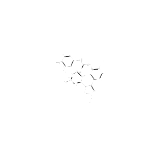 CCN1C=C(c2ccc(F)c(NC(=O)Nc3ccc(Cl)c(Cl)c3)c2)C(c2ccnc(N)n2)N1